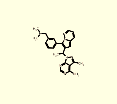 Cc1nn(C(C)c2cc3cccnn3c2-c2cccc(CN(C)C)c2)c2ncnc(N)c12